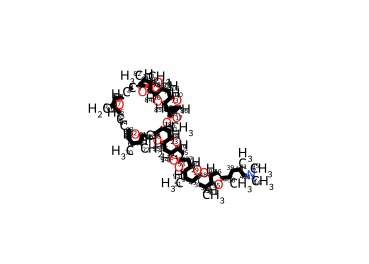 C=C1C[C@@H]2CC[C@]34OC5[C@@H]6O[C@H]7CC[C@H](CC(=O)O[C@@H]8[C@@H](C)[C@@H]9O[C@@H]%10C[C@]%11(C[C@@H]%12O[C@]%13(C[C@H](C)[C@@H]%14O[C@H]([C@@H](C)C[C@@H](C)CN(C)C)C[C@@H]%14O%13)C[C@H](C)[C@@H]%12O%11)O[C@@H]%10C[C@@H]9O[C@H]8C[C@H]8O[C@@H](CC[C@@H]1O2)C[C@@H](C)C8=C)O[C@@H]7[C@H](O3)[C@@H]6O[C@@]5(C)[C@H]4C